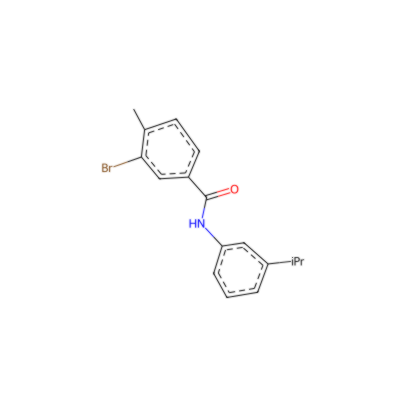 Cc1ccc(C(=O)Nc2cccc(C(C)C)c2)cc1Br